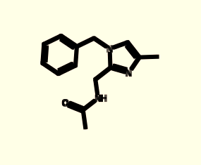 CC(=O)NCc1nc(C)cn1Cc1ccccc1